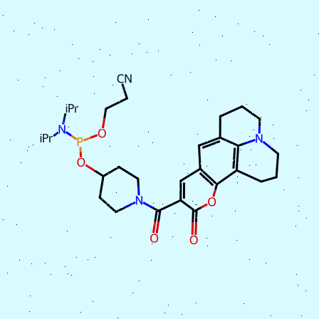 CC(C)N(C(C)C)P(OCCC#N)OC1CCN(C(=O)c2cc3cc4c5c(c3oc2=O)CCCN5CCC4)CC1